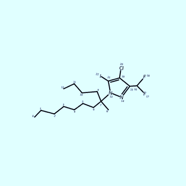 CCCCCCCC(C)(CCCC)n1nc(C(F)F)c(Cl)c1I